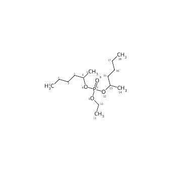 CCCCC(C)OP(=O)(OCC)OC(C)CCCC